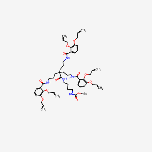 C=CCOc1cccc(C(=O)NCCCC(CCCNC(=O)c2cccc(OCC=C)c2OCC=C)(CCCNC(=O)c2cccc(OCC=C)c2OCC=C)C(=O)NCCCCNC(=O)OC(C)(C)C)c1OCC=C